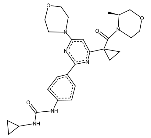 C[C@H]1COCCN1C(=O)C1(c2cc(N3CCOCC3)nc(-c3ccc(NC(=O)NC4CC4)cc3)n2)CC1